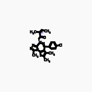 C/C=C(/C)C(=O)C[C@@H]1N=C(c2ccc(Cl)cc2)c2c(sc(C)c2C)-n2c(C)nnc21